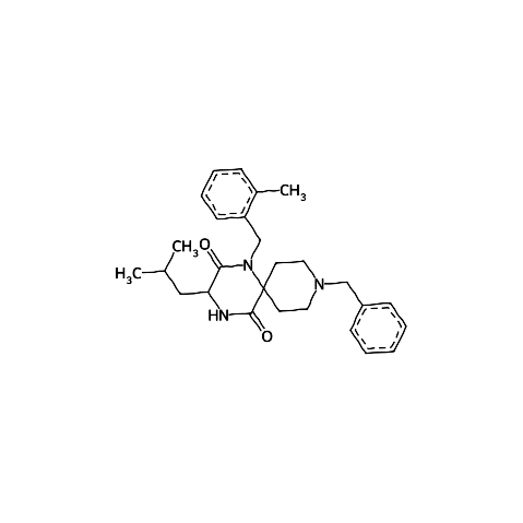 Cc1ccccc1CN1C(=O)C(CC(C)C)NC(=O)C12CCN(Cc1ccccc1)CC2